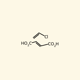 C=CCl.O=C(O)/C=C/C(=O)O